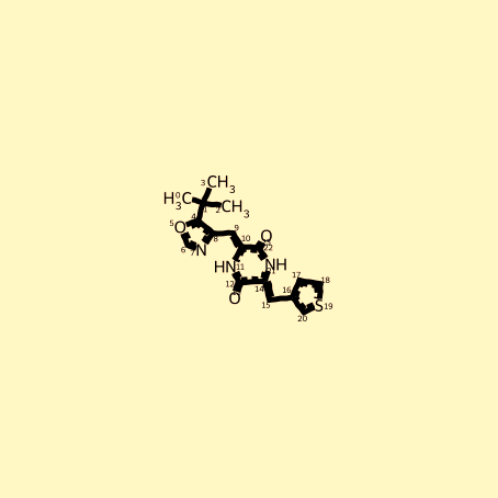 CC(C)(C)c1ocnc1/C=c1\[nH]c(=O)/c(=C/c2ccsc2)[nH]c1=O